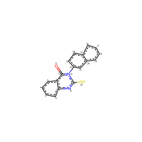 O=c1c2ccccc2nc(S)n1-c1ccc2ccccc2c1